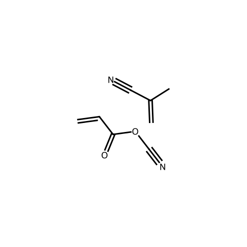 C=C(C)C#N.C=CC(=O)OC#N